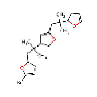 CC(C)(C)C1=CCC(CC(C)(C)C2C=C(CC(C)(C)C3CC=CO3)OC2)O1